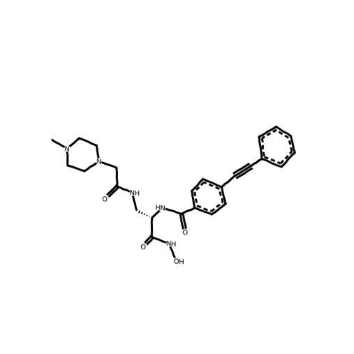 CN1CCN(CC(=O)NC[C@H](NC(=O)c2ccc(C#Cc3ccccc3)cc2)C(=O)NO)CC1